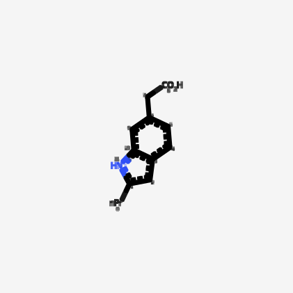 CCCc1cc2ccc(CC(=O)O)cc2[nH]1